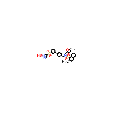 Cc1ccc2ccccc2c1S(=O)(=O)N(Cc1ccc(-c2cccc(S(=O)(=O)c3cnn(O)c3)c2)cc1)Cc1ccc(C(F)(F)F)o1